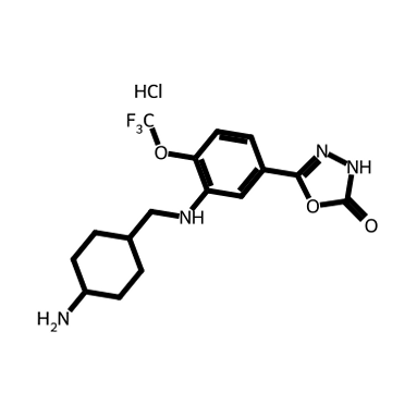 Cl.NC1CCC(CNc2cc(-c3n[nH]c(=O)o3)ccc2OC(F)(F)F)CC1